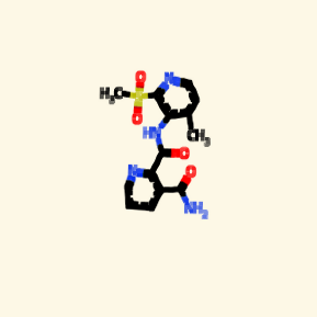 Cc1ccnc(S(C)(=O)=O)c1NC(=O)c1ncccc1C(N)=O